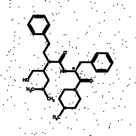 CN(C)CC(CO)N(CCc1ccccc1)C(=O)N[C@@H](Cc1ccccc1)C(=O)N1CCN(C)CC1